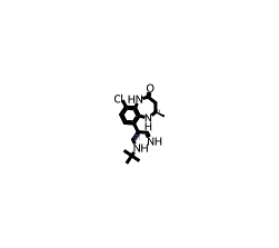 C[C@@H]1CC(=O)Nc2c(Cl)ccc(/C(C=N)=C/NC(C)(C)C)c2N1